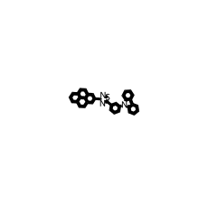 c1cc(-c2nc(-c3cc4ccc5cccc6ccc(c3)c4c56)ns2)cc(-n2c3ccccc3c3ccccc32)c1